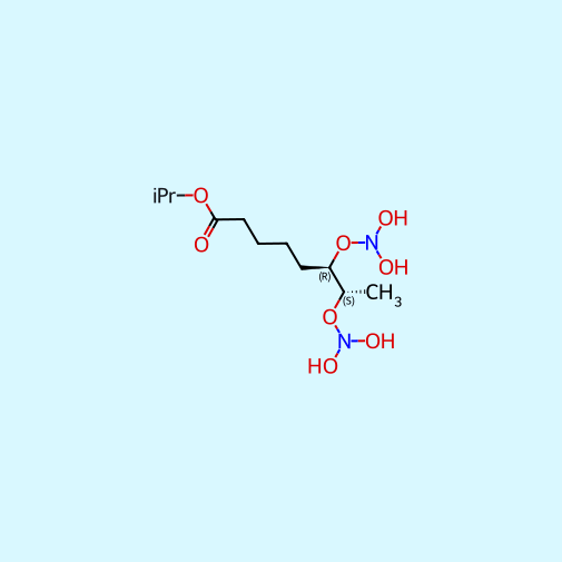 CC(C)OC(=O)CCCC[C@@H](ON(O)O)[C@H](C)ON(O)O